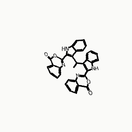 CC(c1c(-c2nc3ccccc3c(=O)o2)[nH]c2ccccc12)c1c(-c2nc3ccccc3c(=O)o2)[nH]c2ccccc12